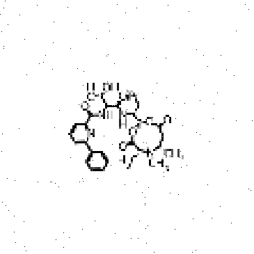 CC(C)C[C@H](NC(=O)C(NC(=O)c1cccc(-c2ccccc2)n1)[C@@H](C)O)B1OC(=O)C[C@H](C)N(C)[C@H](C)C(=O)O1